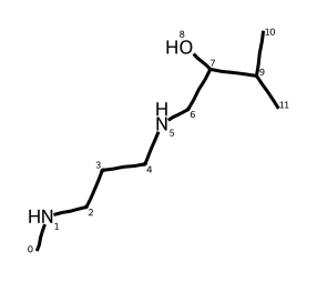 CNCCCNCC(O)C(C)C